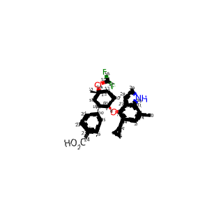 Cc1cc(C2CC2)c(O[C@@H]2CC[C@@](C)(OC(F)F)C[C@H]2c2ccc(C(=O)O)cc2)c2cc[nH]c12